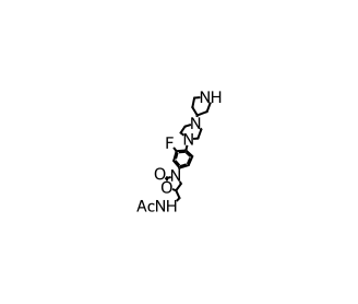 CC(=O)NCC1CN(c2ccc(N3CCN(C4CCNCC4)CC3)c(F)c2)C(=O)O1